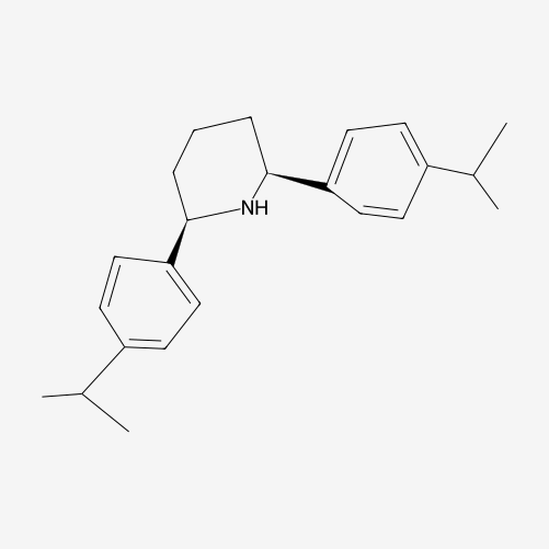 CC(C)c1ccc([C@@H]2CCC[C@H](c3ccc(C(C)C)cc3)N2)cc1